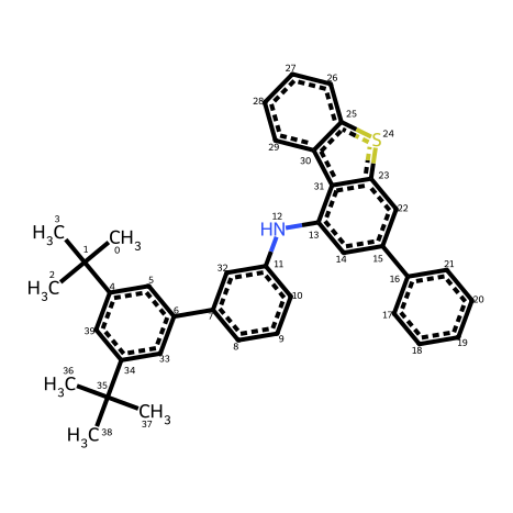 CC(C)(C)c1cc(-c2cccc(Nc3cc(-c4ccccc4)cc4sc5ccccc5c34)c2)cc(C(C)(C)C)c1